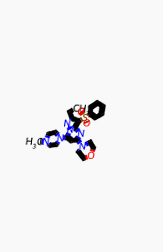 CCc1nn2c(N3CCN(C)CC3)cc(N3CCOCC3)nc2c1S(=O)(=O)c1ccccc1